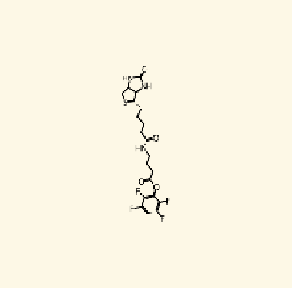 O=C(CCCC[C@@H]1SCC2NC(=O)NC21)NCCCC(=O)Oc1c(F)c(F)cc(F)c1F